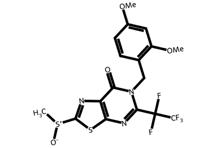 COc1ccc(Cn2c(C(F)(F)C(F)(F)F)nc3sc([S+](C)[O-])nc3c2=O)c(OC)c1